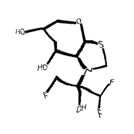 OC1COC2SCN(C(O)(CF)C(F)F)C2C1O